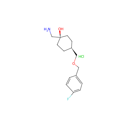 Cl.NC[C@]1(O)CC[C@@H](COCc2ccc(F)cc2)CC1